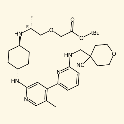 Cc1cnc(N[C@H]2CC[C@H](N[C@H](C)COCC(=O)OC(C)(C)C)CC2)cc1-c1cccc(NCC2(C#N)CCOCC2)n1